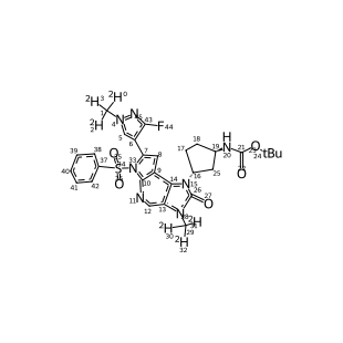 [2H]C([2H])([2H])n1cc(-c2cc3c(ncc4c3n([C@@H]3CC[C@@H](NC(=O)OC(C)(C)C)C3)c(=O)n4C([2H])([2H])[2H])n2S(=O)(=O)c2ccccc2)c(F)n1